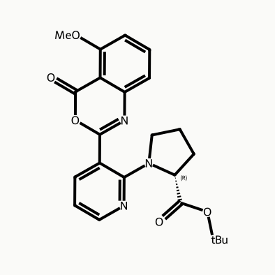 COc1cccc2nc(-c3cccnc3N3CCC[C@@H]3C(=O)OC(C)(C)C)oc(=O)c12